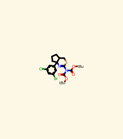 CC(C)(C)OC(=O)N(C(=O)OC(C)(C)C)C1=NC2(c3cc(Cl)cc(Br)c3)CCCC2CS1